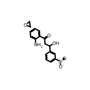 C1CO1.Nc1ccccc1C(=O)CC(O)c1cccc([N+](=O)[O-])c1